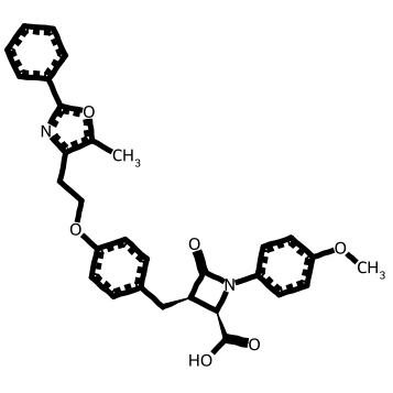 COc1ccc(N2C(=O)[C@H](Cc3ccc(OCCc4nc(-c5ccccc5)oc4C)cc3)[C@@H]2C(=O)O)cc1